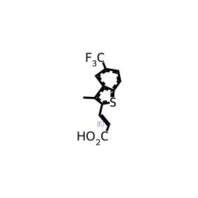 Cc1c(/C=C/C(=O)O)sc2ccc(C(F)(F)F)cc12